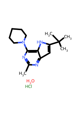 Cc1nc(N2CCCCC2)c2[nH]c(C(C)(C)C)cc2n1.Cl.O